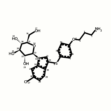 NCCCOc1ccc(Sc2cn([C@@H]3O[C@H](CO)[C@@H](O)[C@H](O)[C@H]3O)c3cc(Cl)ccc23)cc1